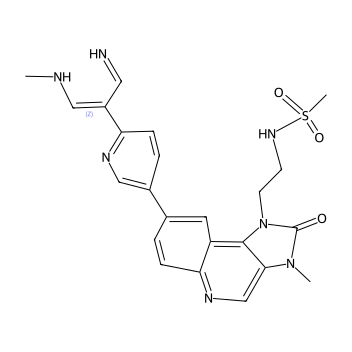 CN/C=C(\C=N)c1ccc(-c2ccc3ncc4c(c3c2)n(CCNS(C)(=O)=O)c(=O)n4C)cn1